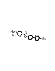 CCCCCCCCC[C@]1(C#N)CC[C@H](C(=O)Oc2ccc(-c3ccc(CCCC)cn3)cc2)CC1